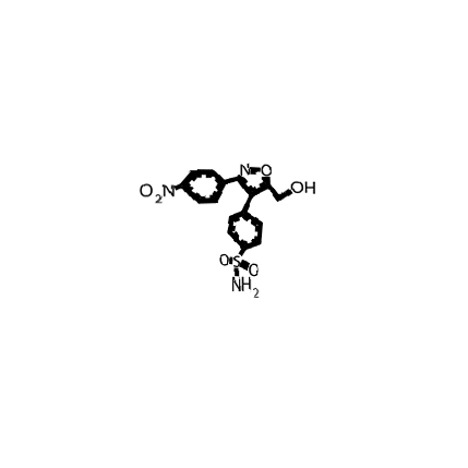 NS(=O)(=O)c1ccc(-c2c(-c3ccc([N+](=O)[O-])cc3)noc2CO)cc1